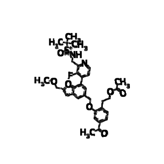 COCc1cc2cc(COc3cc(C(C)=O)ccc3CCOC(C)=O)cc(-c3ccnc(CN[S@@+]([O-])C(C)(C)C)c3F)c2o1